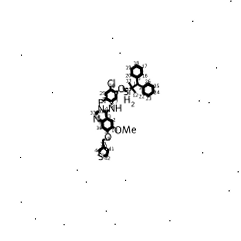 COc1cc2c(Nc3cc(O[SiH2]C(C)(C)C(c4ccccc4)c4ccccc4)c(Cl)cc3F)ncnc2cc1OCc1ccsc1